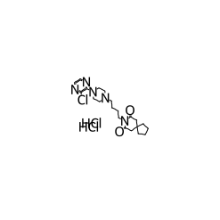 Cl.Cl.O=C1CC2(CCCC2)CC(=O)N1CCCCN1CCN(c2nccnc2Cl)CC1